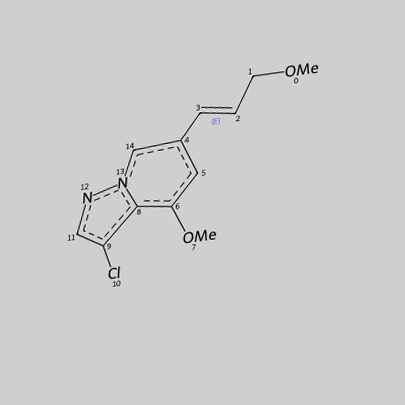 COC/C=C/c1cc(OC)c2c(Cl)cnn2c1